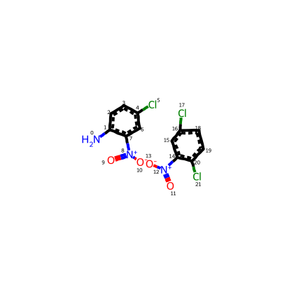 Nc1ccc(Cl)cc1[N+](=O)[O-].O=[N+]([O-])c1cc(Cl)ccc1Cl